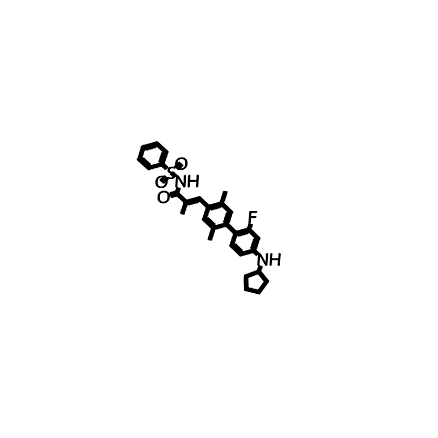 C/C(=C\c1cc(C)c(-c2ccc(NC3CCCC3)cc2F)cc1C)C(=O)NS(=O)(=O)c1ccccc1